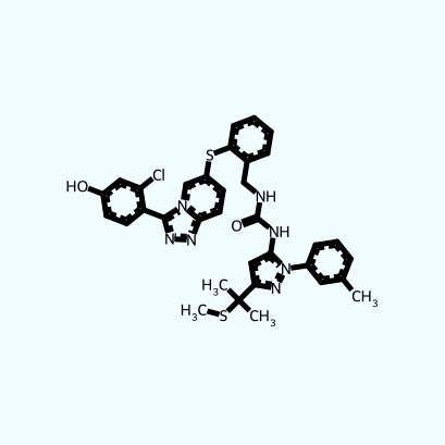 CSC(C)(C)c1cc(NC(=O)NCc2ccccc2Sc2ccc3nnc(-c4ccc(O)cc4Cl)n3c2)n(-c2cccc(C)c2)n1